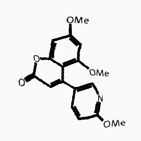 COc1cc(OC)c2c(-c3ccc(OC)nc3)cc(=O)oc2c1